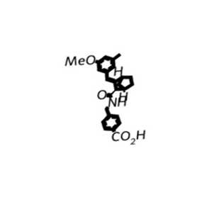 COc1cc(C)cc(/C=C2\[C@@H]3CC[C@@H](C3)[C@H]2C(=O)NCc2ccc(C(=O)O)cc2)c1